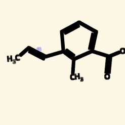 C/C=C/c1cccc(C([O])=O)c1C